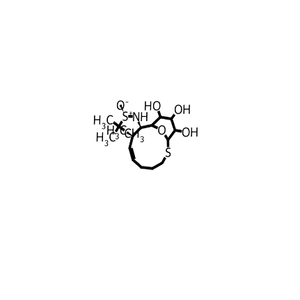 C[C@@H]1/C=C\CCCSC2OC(C(O)C(O)C2O)[C@@H]1N[S@+]([O-])C(C)(C)C